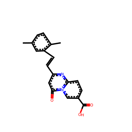 Cc1ccc(C)c(C=Cc2cc(=O)n3cc(C(=O)O)ccc3n2)c1